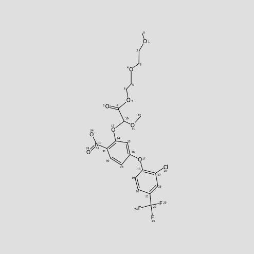 COCCOCCOC(=O)C(OC)Oc1cc(Oc2ccc(C(F)(F)F)cc2Cl)ccc1[N+](=O)[O-]